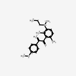 C=C(C(=O)c1c(C)ccc(N(C)CCC)c1C)c1ccc(OC)cc1